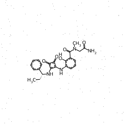 CC[C@@H](Nc1c(Nc2cccc(C(=O)N(C)CC(N)=O)c2O)c(=O)c1=O)c1ccccc1